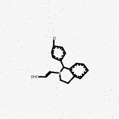 O=CC=CN1CCc2ccccc2C1c1ccc(Cl)cc1